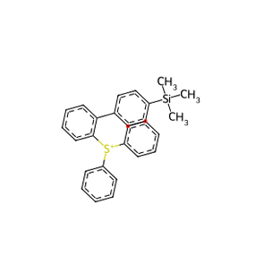 C[Si](C)(C)c1ccc(-c2ccccc2[S+](c2ccccc2)c2ccccc2)cc1